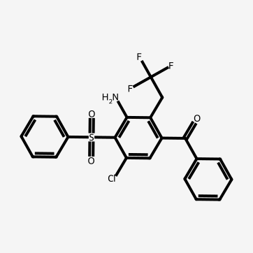 Nc1c(CC(F)(F)F)c(C(=O)c2ccccc2)cc(Cl)c1S(=O)(=O)c1ccccc1